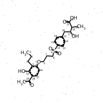 CCCc1c(OCCCS(=O)(=O)c2ccc(CC(O)C(C)C(=O)O)cc2)ccc(C(C)=O)c1O